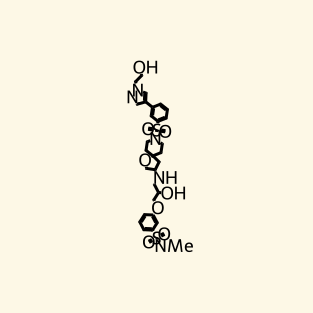 CNS(=O)(=O)c1cccc(OCC(O)CNC2COC3(CCN(S(=O)(=O)c4cccc(-c5cnn(CCO)c5)c4)CC3)C2)c1